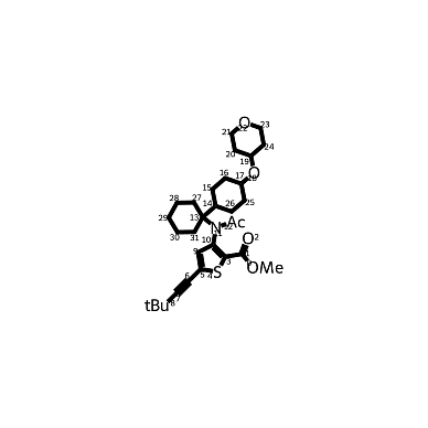 COC(=O)c1sc(C#CC(C)(C)C)cc1N(C(C)=O)C1(C2CCC(OC3CCOCC3)CC2)CCCCC1